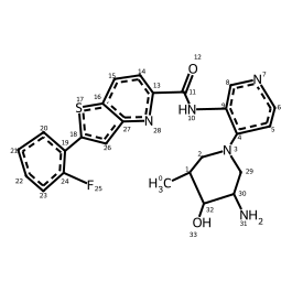 CC1CN(c2ccncc2NC(=O)c2ccc3sc(-c4ccccc4F)cc3n2)CC(N)C1O